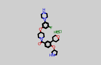 Cl.Cl.O=C(c1ccc(O[C@H]2CCNC2)c(C2CCOCC2)c1)N1CCC(Oc2cc(F)cc(N3CCNCC3)c2)CC1